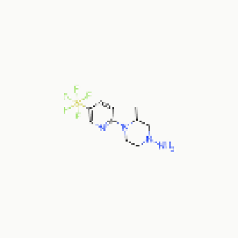 CC1CN(N)CCN1c1ccc(S(F)(F)(F)(F)F)cn1